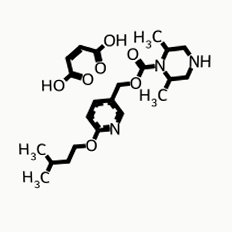 CC(C)CCOc1ccc(COC(=O)N2C(C)CNCC2C)cn1.O=C(O)/C=C\C(=O)O